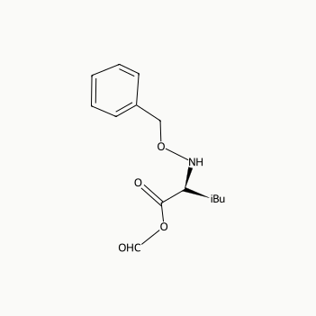 CC[C@H](C)[C@H](NOCc1ccccc1)C(=O)OC=O